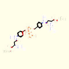 CC(C)(C)OC(=O)[C@@H](N)CC(=O)Nc1ccc(COP(=O)(CP(=O)(O)O)OCc2ccc(NC(=O)C[C@H](N)C(=O)OC(C)(C)C)cc2)cc1